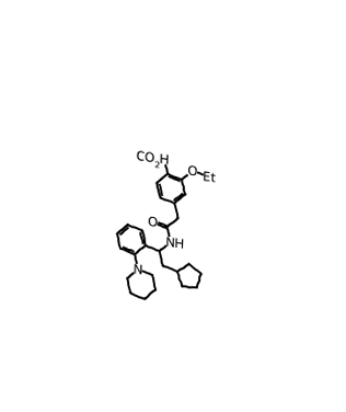 CCOc1cc(CC(=O)NC(CC2CCCC2)c2ccccc2N2CCCCC2)ccc1C(=O)O